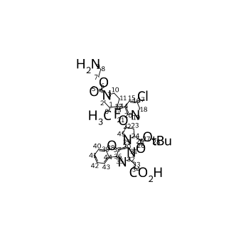 C[C@H]1CN(C(=O)OCCN)CC[C@]1(F)c1cc(Cl)cnc1O[C@H]1C[C@@H](C(=O)OC(C)(C)C)N(c2nc(CC(=O)O)nc3c2oc2ccccc23)C1